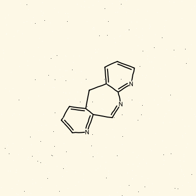 [C]1=Nc2ncccc2Cc2cccnc21